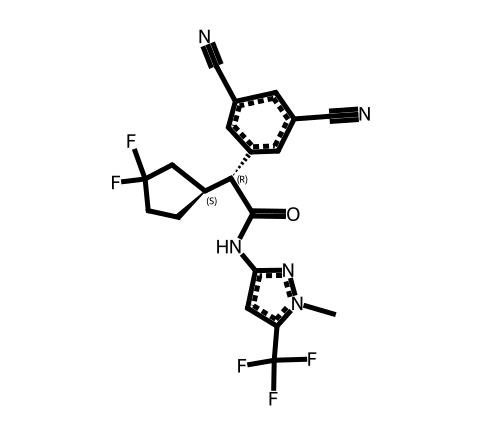 Cn1nc(NC(=O)[C@@H](c2cc(C#N)cc(C#N)c2)[C@H]2CCC(F)(F)C2)cc1C(F)(F)F